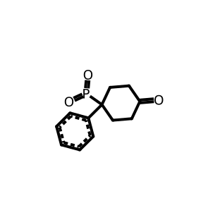 O=C1CCC(c2ccccc2)(P(=O)=O)CC1